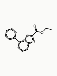 CCOC(=O)c1cn2c(-c3ccccc3)cccc2n1